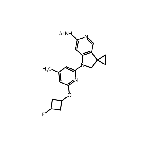 CC(=O)Nc1cc2c(cn1)C1(CC1)CN2c1cc(C)cc(OC2CC(F)C2)n1